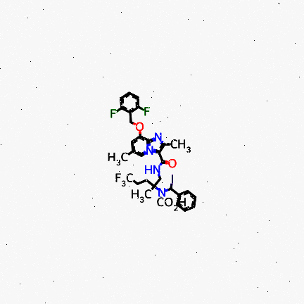 Cc1cc(OCc2c(F)cccc2F)c2nc(C)c(C(=O)NCC(C)(CCC(F)(F)F)N(C(=O)O)C(I)c3ccccc3)n2c1